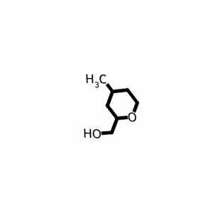 CC1CCOC(CO)C1